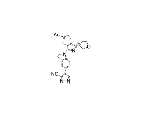 CC(=O)N1CCc2c(c(N3CCc4cc(-c5cn(C)nc5C#N)ccc43)nn2[C@@H]2CCOC2)C1